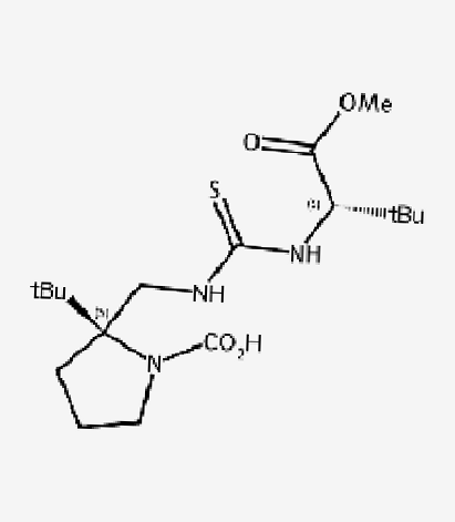 COC(=O)[C@@H](NC(=S)NC[C@@]1(C(C)(C)C)CCCN1C(=O)O)C(C)(C)C